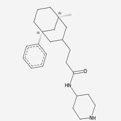 C[C@]12CCC[C@](c3ccccc3)(CC(CCC(=O)NC3CCNCC3)C1)C2